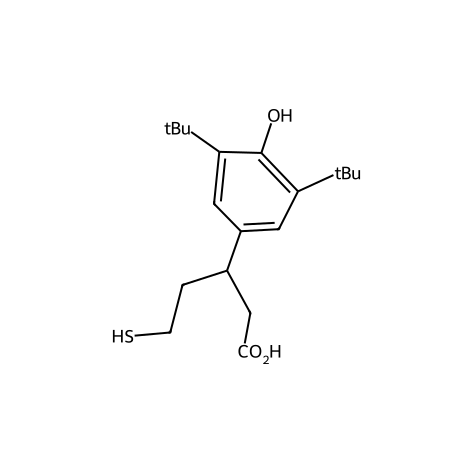 CC(C)(C)c1cc(C(CCS)CC(=O)O)cc(C(C)(C)C)c1O